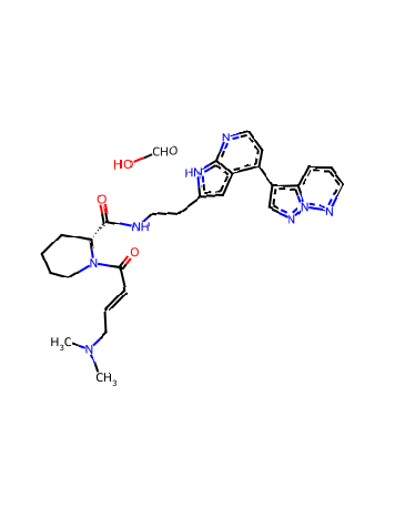 CN(C)C/C=C/C(=O)N1CCCC[C@@H]1C(=O)NCCc1cc2c(-c3cnn4ncccc34)ccnc2[nH]1.O=CO